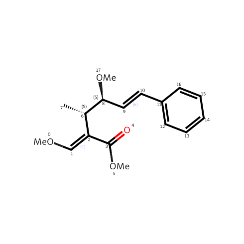 CO/C=C(/C(=O)OC)[C@H](C)[C@H](/C=C/c1ccccc1)OC